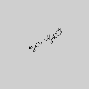 O=C(O)N1CC2C(CCNC(=O)N3Cc4ccncc4C3)C2C1